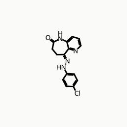 O=C1CCC(=NNc2ccc(Cl)cc2)c2ncccc2N1